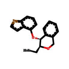 CNC[C@@H]1OCc2ccccc2[C@H]1Oc1cccc2sccc12